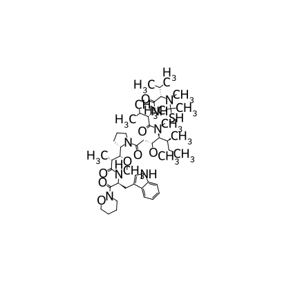 CC[C@H](C)[C@@H]([C@@H](CC(=O)N1CCC[C@H]1[C@H](OC)[C@@H](C)C(=O)N[C@@H](Cc1c[nH]c2ccccc12)C(=O)N1CCCCO1)OC)N(C)C(=O)[C@@H](NC(=O)[C@H](C(C)C)N(C)C(C)(C)S)C(C)C